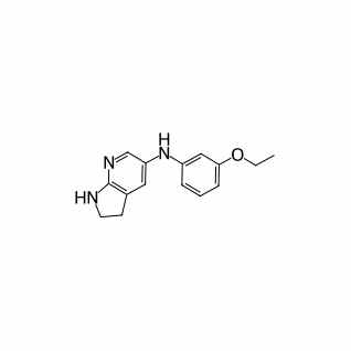 CCOc1cccc(Nc2cnc3c(c2)CCN3)c1